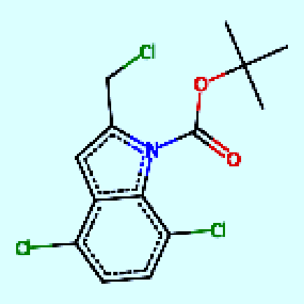 CC(C)(C)OC(=O)n1c(CCl)cc2c(Cl)ccc(Cl)c21